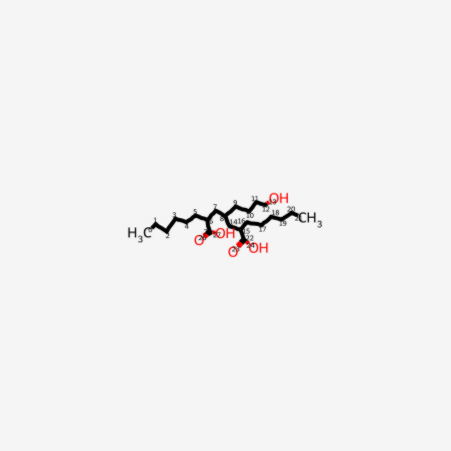 CCCCCCC(CC(CCCCO)CC(CCCCCC)C(=O)O)C(=O)O